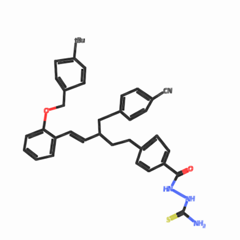 CC(C)(C)c1ccc(COc2ccccc2C=CC(CCc2ccc(C(=O)NNC(N)=S)cc2)Cc2ccc(C#N)cc2)cc1